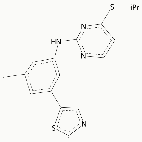 Cc1cc(Nc2nccc(SC(C)C)n2)cc(-c2cn[c]s2)c1